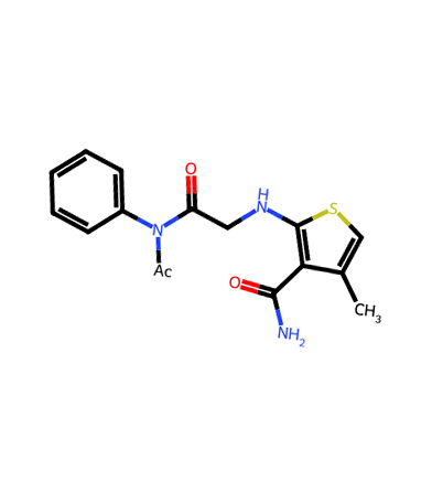 CC(=O)N(C(=O)CNc1scc(C)c1C(N)=O)c1ccccc1